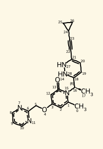 Cc1cc(OCc2ncccn2)cc(=O)n1[C@H](C)C1=CC=C(C#CC2CC2)NN1